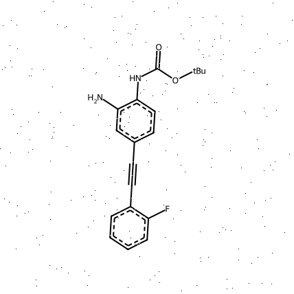 CC(C)(C)OC(=O)Nc1ccc(C#Cc2ccccc2F)cc1N